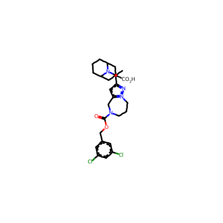 CC(c1cc2n(n1)CCCN(C(=O)OCc1cc(Cl)cc(Cl)c1)C2)N1C2CCCC1CC(C(=O)O)C2